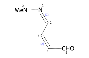 CN/N=C\C=C/C=O